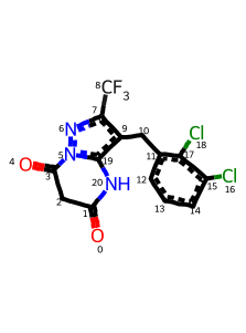 O=C1CC(=O)n2nc(C(F)(F)F)c(Cc3cccc(Cl)c3Cl)c2N1